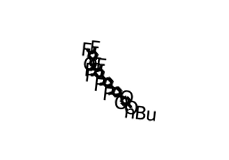 CCCCOC1COC(c2ccc(-c3ccc(-c4cc(F)c(C(F)(F)Oc5ccc(F)c(F)c5)c(F)c4)c(F)c3)c(F)c2)OC1